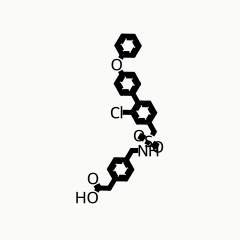 O=C(O)Cc1ccc(CNS(=O)(=O)Cc2ccc(-c3ccc(Oc4ccccc4)cc3)c(Cl)c2)cc1